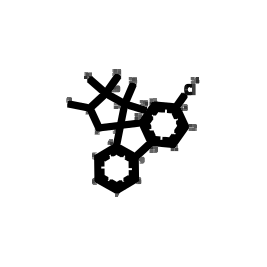 CC1CC2(c3ccccc3-c3ccc(Cl)cc32)C(C)(C)C1(C)C